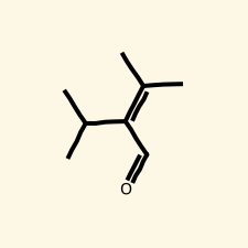 CC(C)=C(C=O)C(C)C